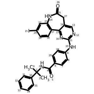 CC(C)(NC(=O)c1ccc(Nc2ncc3c(n2)-c2ccc(I)cc2NC(=O)C3)cc1)c1ccccc1